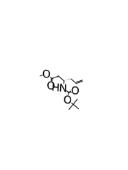 C=CC[C@@H](CC(=O)OC)NC(=O)OC(C)(C)C